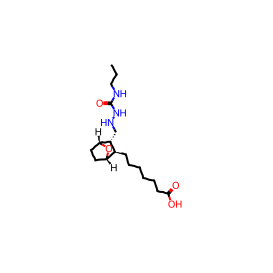 CCCNC(=O)NNC[C@@H]1[C@@H](CCCCCCC(=O)O)[C@@H]2CC[C@H]1O2